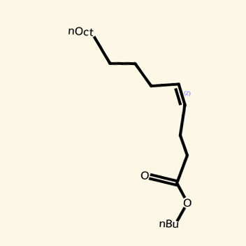 CCCCCCCCCCC/C=C\CCC(=O)OCCCC